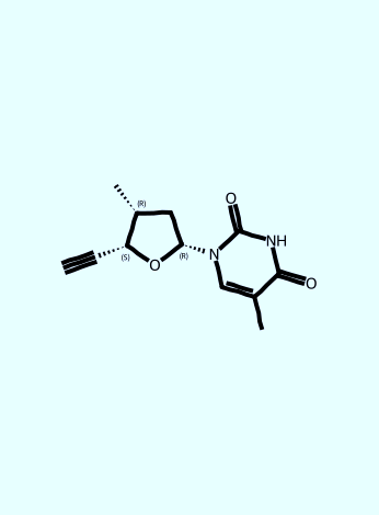 C#C[C@H]1O[C@@H](n2cc(C)c(=O)[nH]c2=O)C[C@H]1C